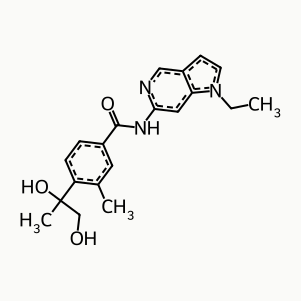 CCn1ccc2cnc(NC(=O)c3ccc(C(C)(O)CO)c(C)c3)cc21